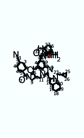 N#Cc1ccc(C(=O)N2CC(Cn3c(-c4cc5ccccc5n4CC4CC4)nc4cc(C(=O)N5C[C@H]6CC[C@@H]5[C@@H]6N)cc(Cl)c43)C2)cc1